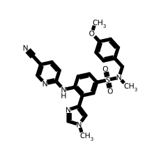 COc1ccc(CN(C)S(=O)(=O)c2ccc(Nc3ccc(C#N)cn3)c(-c3cn(C)cn3)c2)cc1